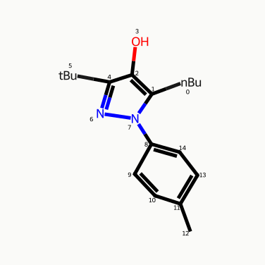 CCCCc1c(O)c(C(C)(C)C)nn1-c1ccc(C)cc1